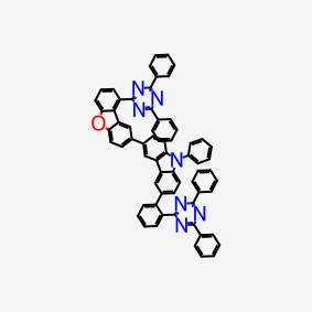 c1ccc(-c2nc(-c3ccccc3)nc(-c3ccccc3-c3ccc4c(c3)c3cc(-c5ccc6oc7cccc(-c8nc(-c9ccccc9)nc(-c9ccccc9)n8)c7c6c5)ccc3n4-c3ccccc3)n2)cc1